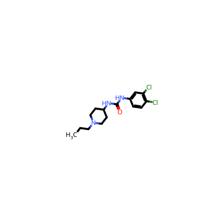 CCCN1CCC(NC(=O)Nc2ccc(Cl)c(Cl)c2)CC1